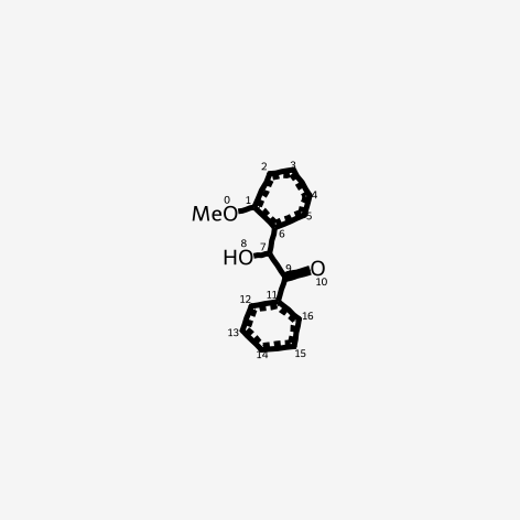 COc1ccccc1C(O)C(=O)c1ccccc1